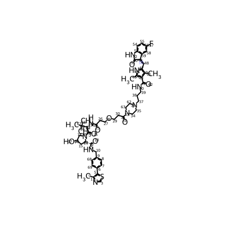 Cc1ncsc1-c1ccc(CNC(=O)[C@@H]2C[C@@H](O)CN2C(=O)[C@@H](NC(=O)CCOCCC(=O)N2CCN(CCCNC(=O)c3c(C)[nH]c(/C=C4\C(=O)Nc5ccc(F)cc54)c3C)CC2)C(C)(C)C)cc1